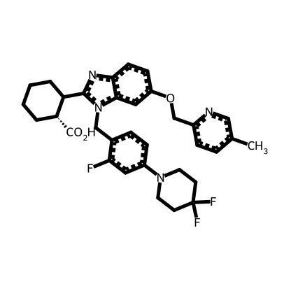 Cc1ccc(COc2ccc3nc(C4CCCC[C@H]4C(=O)O)n(Cc4ccc(N5CCC(F)(F)CC5)cc4F)c3c2)nc1